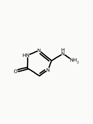 NNc1ncc(=O)[nH]n1